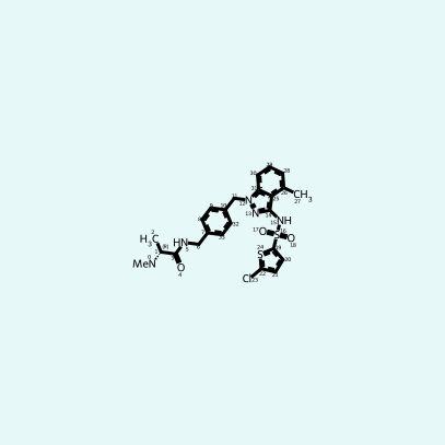 CN[C@H](C)C(=O)NCc1ccc(Cn2nc(NS(=O)(=O)c3ccc(Cl)s3)c3c(C)cccc32)cc1